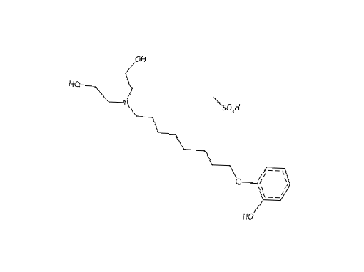 CS(=O)(=O)O.OCCN(CCO)CCCCCCCCOc1ccccc1O